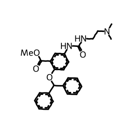 COC(=O)c1cc(NC(=O)NCCN(C)C)ccc1OC(c1ccccc1)c1ccccc1